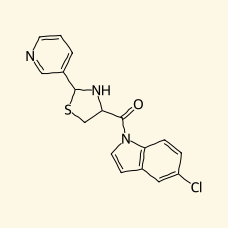 O=C(C1CSC(c2cccnc2)N1)n1ccc2cc(Cl)ccc21